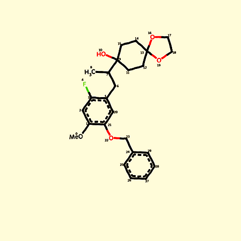 COc1cc(F)c(CC(C)C2(O)CCC3(CC2)OCCO3)cc1OCc1ccccc1